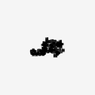 CC[C@@H]1C[C@]1(NC(=O)[C@@H]1C[C@@H](Oc2cc(-c3csc(NC(C)C)n3)nc3c(Cl)c(OCCN4CCOCC4)ccc23)CN1C(=O)C(NC(=O)O[C@@H]1C[C@@H]2C[C@@H]2C1)C(C)(C)C)C(=O)O